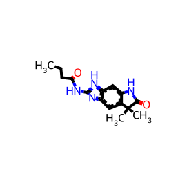 CCCC(=O)Nc1nc2cc3c(cc2[nH]1)NC(=O)C3(C)C